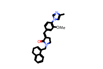 COc1cc(/C=C2\CCN(CC3=CCCc4ccccc43)C2=O)ccc1-n1cnc(C)c1